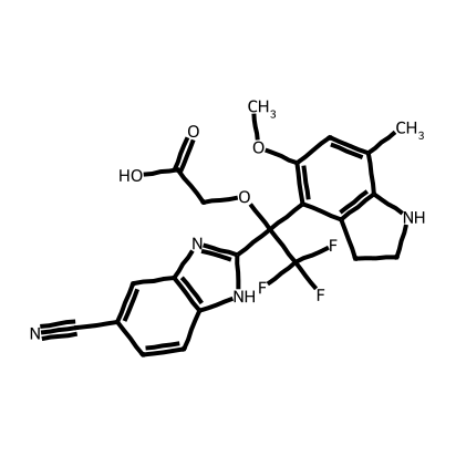 COc1cc(C)c2c(c1C(OCC(=O)O)(c1nc3cc(C#N)ccc3[nH]1)C(F)(F)F)CCN2